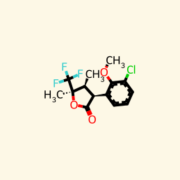 COc1c(Cl)cccc1[C@H]1C(=O)O[C@@](C)(C(F)(F)F)[C@H]1C